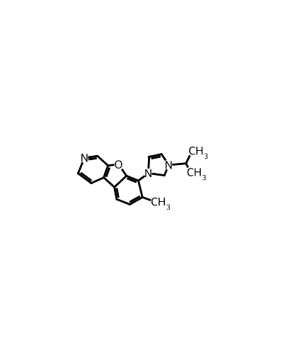 Cc1ccc2c(oc3cnccc32)c1N1C=CN(C(C)C)C1